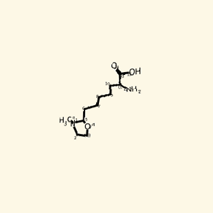 CN1CCOC1CCCCCC(N)C(=O)O